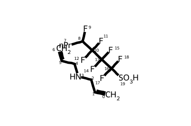 C=CCNCC=C.CCCC(F)C(F)(F)C(F)(F)C(F)(F)S(=O)(=O)O